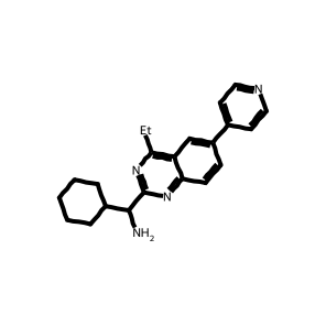 CCc1nc(C(N)C2CCCCC2)nc2ccc(-c3ccncc3)cc12